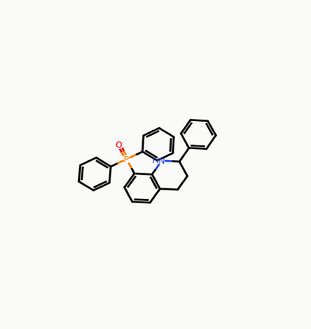 O=P(c1ccccc1)(c1ccccc1)c1cccc2c1NC(c1ccccc1)CC2